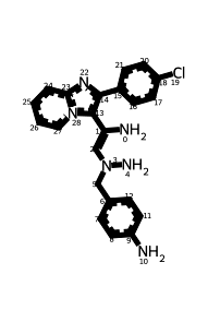 N/C(=C\N(N)Cc1ccc(N)cc1)c1c(-c2ccc(Cl)cc2)nc2ccccn12